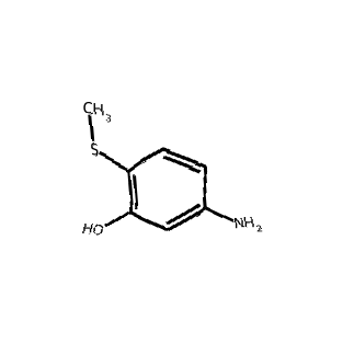 CSc1ccc(N)cc1O